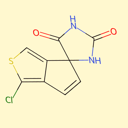 O=C1NC(=O)C2(C=Cc3c2csc3Cl)N1